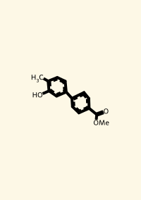 COC(=O)c1ccc(-c2ccc(C)c(O)c2)cc1